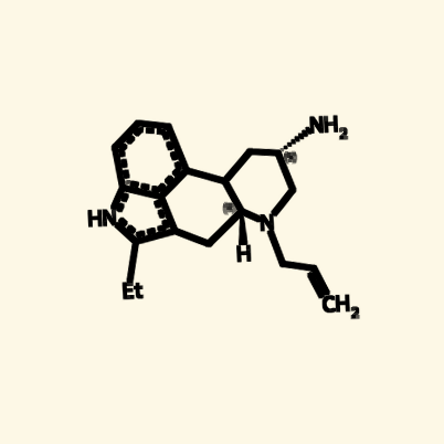 C=CCN1C[C@@H](N)CC2c3cccc4[nH]c(CC)c(c34)C[C@H]21